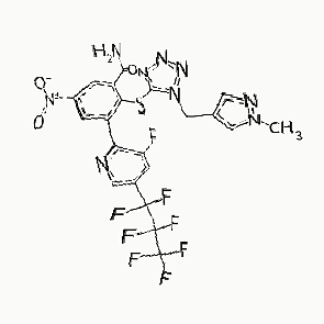 Cn1cc(Cn2nnnc2Sc2c(C(N)=O)cc([N+](=O)[O-])cc2-c2ncc(C(F)(F)C(F)(F)C(F)(F)F)cc2F)cn1